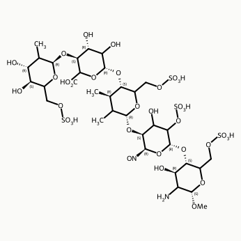 CO[C@H]1OC(COS(=O)(=O)O)[C@@H](O[C@@H]2O[C@@H](N=O)[C@@H](O[C@H]3OC(COS(=O)(=O)O)[C@@H](O[C@@H]4OC(C(=O)O)[C@@H](O[C@H]5OC(COS(=O)(=O)O)[C@@H](O)[C@H](O)C5C)[C@H](O)C4O)[C@H](C)C3C)C(O)C2OS(=O)(=O)O)[C@H](O)C1N